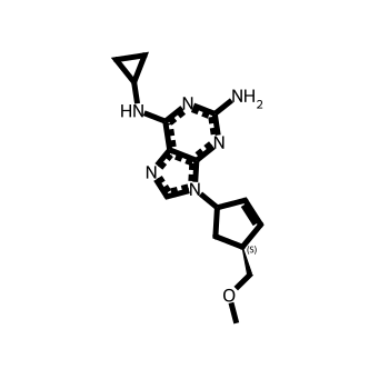 COC[C@@H]1C=CC(n2cnc3c(NC4CC4)nc(N)nc32)C1